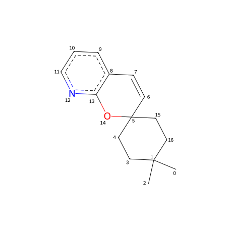 CC1(C)CCC2(C=Cc3cccnc3O2)CC1